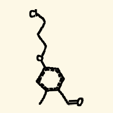 Cc1cc(OCCCCl)ccc1C=O